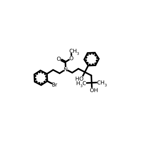 COC(=O)N(CCc1ccccc1Br)CCC(O)(CC(C)(C)O)c1ccccc1